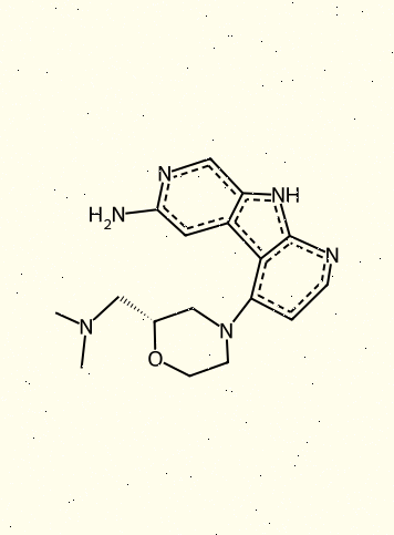 CN(C)C[C@@H]1CN(c2ccnc3[nH]c4cnc(N)cc4c23)CCO1